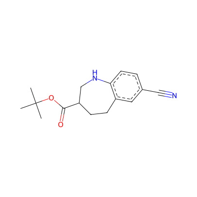 CC(C)(C)OC(=O)C1CCc2cc(C#N)ccc2NC1